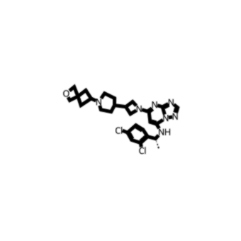 C[C@@H](Nc1cc(N2CC(C3CCN(C4CC5(COC5)C4)CC3)C2)nc2ncnn12)c1ccc(Cl)cc1Cl